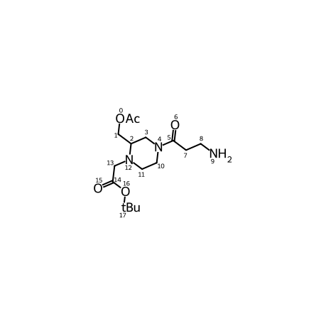 CC(=O)OCC1CN(C(=O)CCN)CCN1CC(=O)OC(C)(C)C